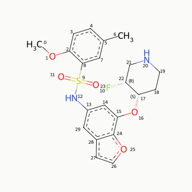 COc1ccc(C)cc1S(=O)(=O)Nc1cc(O[C@H]2CCNC[C@H]2F)c2occc2c1